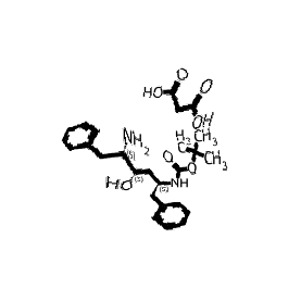 CC(C)(C)OC(=O)N[C@@H](Cc1ccccc1)C[C@H](O)[C@@H](N)Cc1ccccc1.O=C(O)CC(=O)O